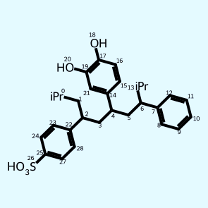 CC(C)CC(CC(CC(c1ccccc1)C(C)C)c1ccc(O)c(O)c1)c1ccc(S(=O)(=O)O)cc1